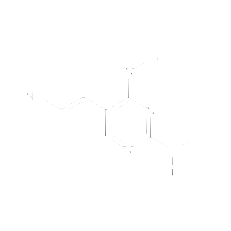 CCNc1nc([S+](C)[O-])ncc1C=CC#N